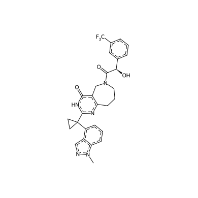 Cn1ncc2c(C3(c4nc5c(c(=O)[nH]4)CN(C(=O)[C@H](O)c4cccc(C(F)(F)F)c4)CCC5)CC3)cccc21